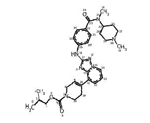 CC(C)COC(=O)N1CC=C(c2cccn3nc(Nc4ccc(C(=O)N(C)C5CCN(C)CC5)cc4)nc23)CC1